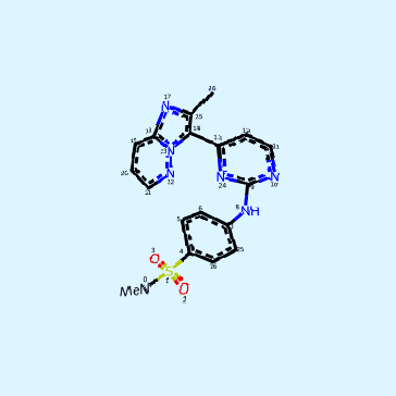 CNS(=O)(=O)c1ccc(Nc2nccc(-c3c(C)nc4cccnn34)n2)cc1